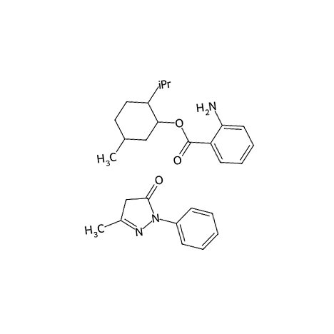 CC1=NN(c2ccccc2)C(=O)C1.CC1CCC(C(C)C)C(OC(=O)c2ccccc2N)C1